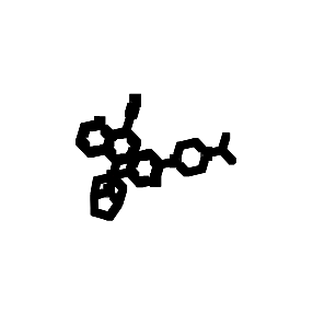 CC(C)N1CCN(c2ccc(CN3C4CCC3CN(c3ccc(C#N)c5ncccc35)C4)cn2)CC1